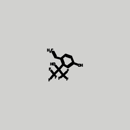 C=Cc1ccc(O)cc1C(O)(C(F)(F)F)C(F)(F)F